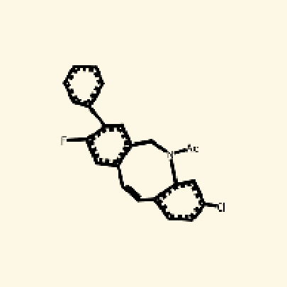 CC(=O)N1Cc2cc(-c3ccccc3)c(F)cc2/C=C\c2ccc(Cl)cc21